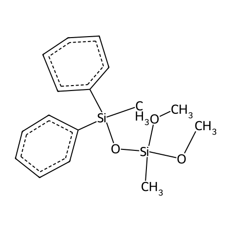 CO[Si](C)(OC)O[Si](C)(c1ccccc1)c1ccccc1